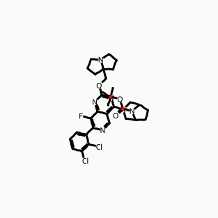 CC(C)(C)OC(=O)N1C2CCC1CN(c1nc(OCC34CCCN3CCC4)nc3c(F)c(-c4cccc(Cl)c4Cl)ncc13)C2